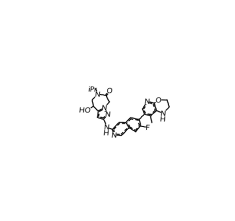 Cc1c(-c2cc3cc(Nc4cc5n(n4)CC(=O)N(C(C)C)CC5O)ncc3cc2F)cnc2c1NCCO2